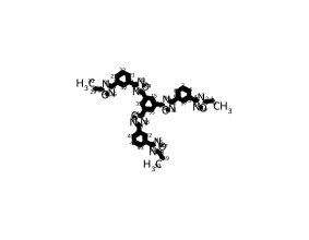 CCc1nc(-c2cccc(-c3noc(-c4cc(-c5nc(-c6cccc(-c7noc(CC)n7)c6)no5)cc(-c5nc(-c6cccc(-c7noc(CC)n7)c6)no5)c4)n3)c2)no1